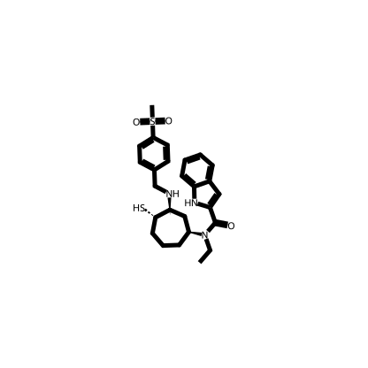 CCN(C(=O)c1cc2ccccc2[nH]1)[C@H]1CCC[C@H](S)[C@@H](NCc2ccc(S(C)(=O)=O)cc2)C1